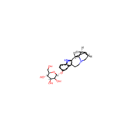 CC[C@H]1C[C@H]2C[C@H]3c4[nH]c5ccc(O[C@H]6OC(CO)[C@@H](O)[C@H](O)C6O)cc5c4CCN(C2)C13